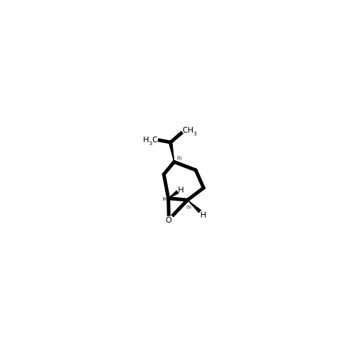 CC(C)[C@H]1CC[C@@H]2O[C@@H]2C1